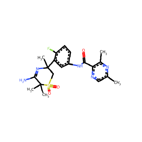 Cc1cnc(C(=O)Nc2ccc(F)c(C3(C)CS(=O)(=O)C(C)(C)C(N)=N3)c2)c(C)n1